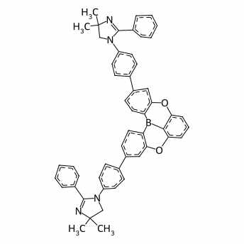 CC1(C)CN(c2ccc(-c3ccc4c(c3)Oc3cccc5c3B4c3ccc(-c4ccc(N6CC(C)(C)N=C6c6ccccc6)cc4)cc3O5)cc2)C(c2ccccc2)=N1